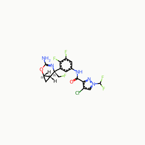 NC1=N[C@](CF)(c2cc(NC(=O)c3nn(C(F)F)cc3Cl)cc(F)c2F)[C@@H]2C[C@@H]2O1